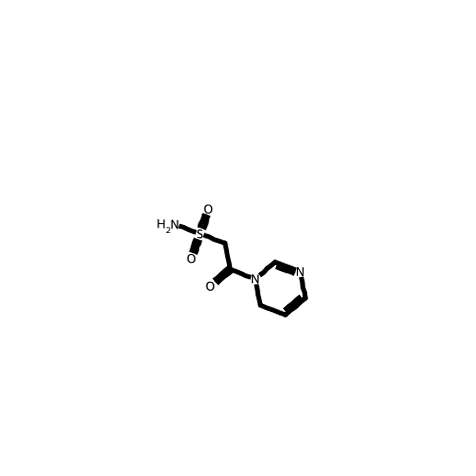 NS(=O)(=O)CC(=O)N1C=NC=CC1